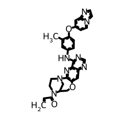 C=CC(=O)N1CCN2CC1COc1cc3ncnc(Nc4ccc(Oc5ccn6ccnc6c5)c(C)c4)c3nc12